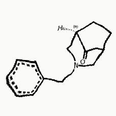 O=C1C2CC[C@@H]1CN(Cc1ccccc1)C2